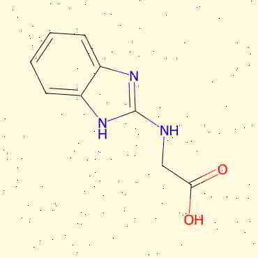 O=C(O)CNc1nc2ccccc2[nH]1